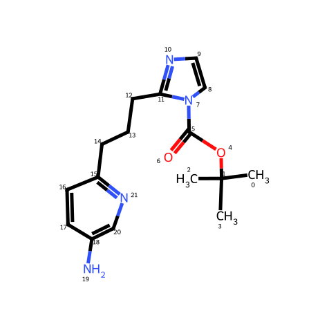 CC(C)(C)OC(=O)n1ccnc1CCCc1ccc(N)cn1